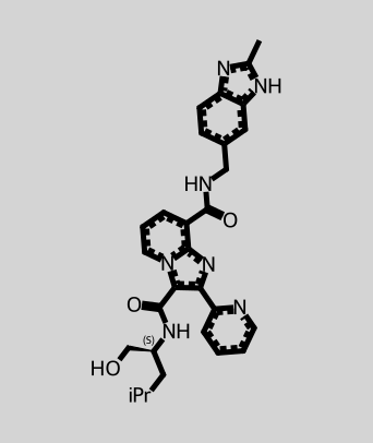 Cc1nc2ccc(CNC(=O)c3cccn4c(C(=O)N[C@H](CO)CC(C)C)c(-c5ccccn5)nc34)cc2[nH]1